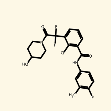 Cc1cc(NC(=O)c2cccc(C(F)(F)C(=O)N3CCC(O)CC3)c2Cl)ccc1F